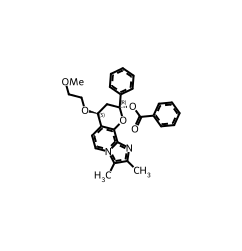 COCCO[C@H]1C[C@@](OC(=O)c2ccccc2)(c2ccccc2)Oc2c1ccn1c(C)c(C)nc21